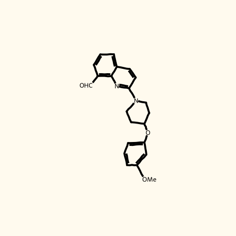 COc1cccc(OC2CCN(c3ccc4cccc(C=O)c4n3)CC2)c1